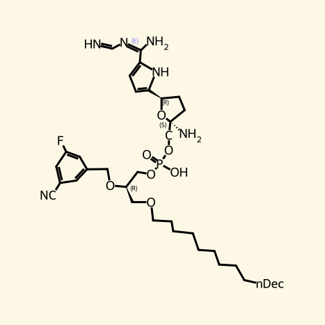 CCCCCCCCCCCCCCCCCCCOC[C@H](COP(=O)(O)OC[C@]1(N)CC[C@H](c2ccc(/C(N)=N\C=N)[nH]2)O1)OCc1cc(F)cc(C#N)c1